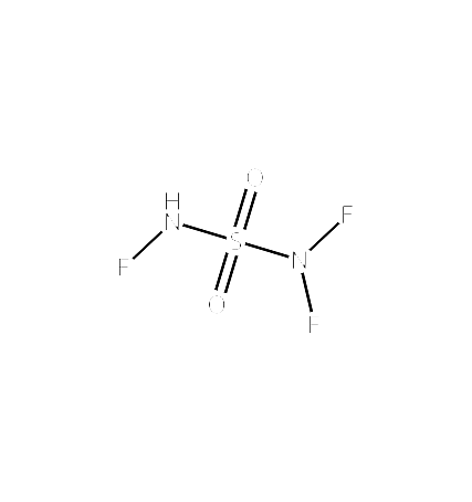 O=S(=O)(NF)N(F)F